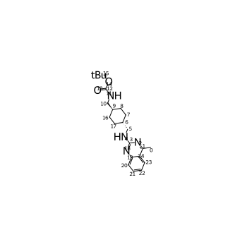 Cc1nc(NC[C@H]2CC[C@H](CNC(=O)OC(C)(C)C)CC2)nc2ccccc12